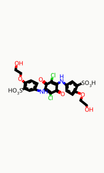 O=C1C(Cl)=C(Nc2ccc(OCCO)c(S(=O)(=O)O)c2)C(=O)C(Cl)=C1Nc1ccc(OCCO)c(S(=O)(=O)O)c1